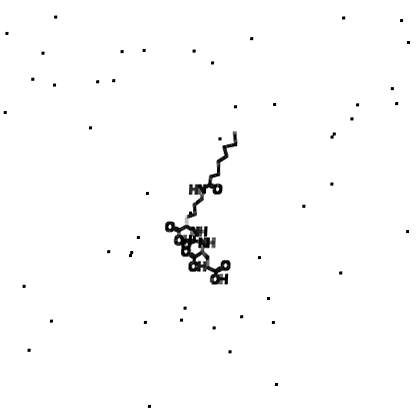 CCCCCCCC(=O)NCCCC[C@H](NC(=O)N[C@@H](CCC(=O)O)C(=O)O)C(=O)O